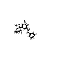 CCC(O)(CO)c1cc(F)cc(OCc2ccccc2)c1